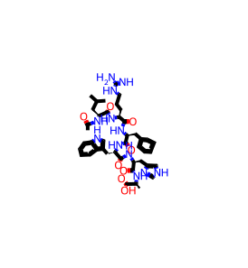 CC(=O)N[C@@H](CC(C)C)C(=O)N[C@@H](CCCNC(=N)N)C(=O)N[C@@H](Cc1ccccc1)C(=O)N[C@@H](Cc1c[nH]c2ccccc12)C(=O)N[C@@H](Cc1c[nH]cn1)C(=O)N[C@@H](C)C(=O)O